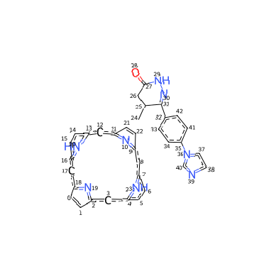 C1=Cc2cc3ccc(cc4nc(cc5ccc(cc1n2)[nH]5)C=C4)[nH]3.CC1CC(=O)NN=C1c1ccc(-n2ccnc2)cc1